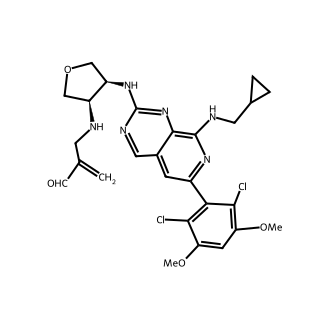 C=C(C=O)CN[C@H]1COC[C@H]1Nc1ncc2cc(-c3c(Cl)c(OC)cc(OC)c3Cl)nc(NCC3CC3)c2n1